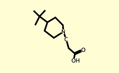 CC(C)(C)C1CCN(CCC(=O)O)CC1